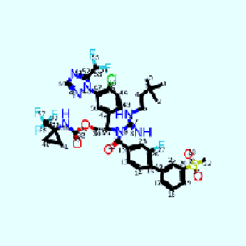 CC(C)(C)CCNC(=N)N(C(=O)c1ccc(-c2cccc(S(C)(=O)=O)c2)c(F)c1)[C@H](COC(=O)NC1(C(F)(F)F)CC1)c1ccc(Cl)c(-n2ncnc2C(F)F)c1